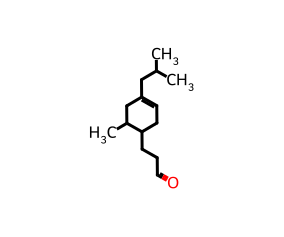 CC(C)CC1=CCC(CCC=O)C(C)C1